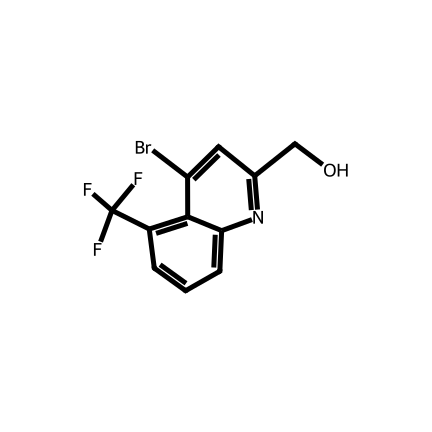 OCc1cc(Br)c2c(C(F)(F)F)cccc2n1